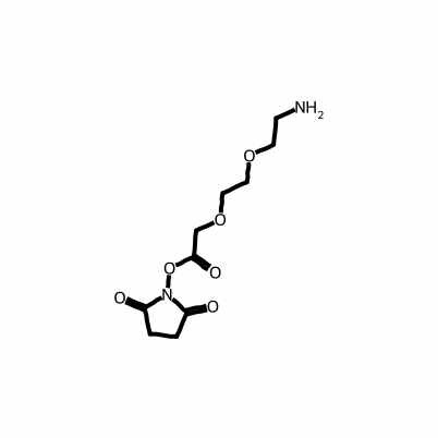 NCCOCCOCC(=O)ON1C(=O)CCC1=O